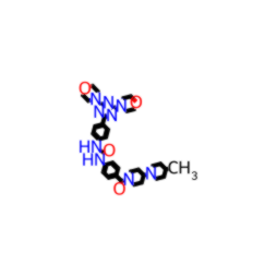 CC1CCN(C2CCN(C(=O)c3ccc(NC(=O)Nc4ccc(-c5nc(N6CCOCC6)nc(N6CCOCC6)n5)cc4)cc3)CC2)CC1